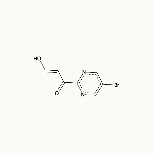 O=C(C=CO)c1ncc(Br)cn1